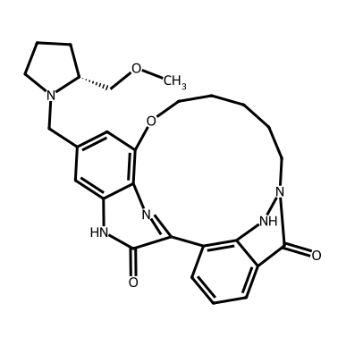 COC[C@H]1CCCN1Cc1cc2c3nc(c(=O)[nH]c3c1)-c1cccc3c(=O)n([nH]c13)CCCCCO2